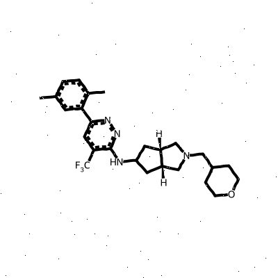 Cc1ccc(C)c(-c2cc(C(F)(F)F)c(NC3C[C@@H]4CN(CC5CCOCC5)C[C@@H]4C3)nn2)c1